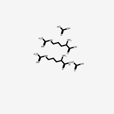 N=C(N)NCCCC(N)C(=O)O.N=C(N)NCCCC(N)C(=O)O.O=C(O)O.O=C(O)O